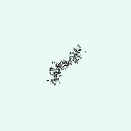 CC(C)[C@H](NC(=O)OC(C)(C)CF)C(=O)N1[C@H](c2nc3cc(-c4cc5ccc4CCc4ccc(c(-c6ccc7[nH]c([C@@H]8C[C@@H]9CCCC[C@@H]9N8C(=O)[C@@H](NC(=O)OC(C)(C)CF)C(C)C)nc7c6)c4)C[C@H]5C)ccc3[nH]2)C[C@@H]2CCCC[C@@H]21